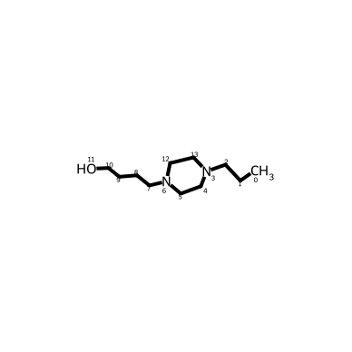 CCCN1CCN(CCCCO)CC1